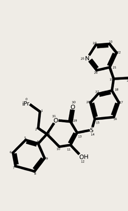 CC(C)CCC1(c2ccccc2)CC(O)=C(Sc2ccc(C(C)c3cccnc3)cc2)C(=O)O1